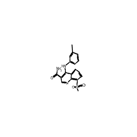 Cc1cccc(Nc2c(C(N)=O)cnc3c(S(C)(=O)=O)cccc23)c1